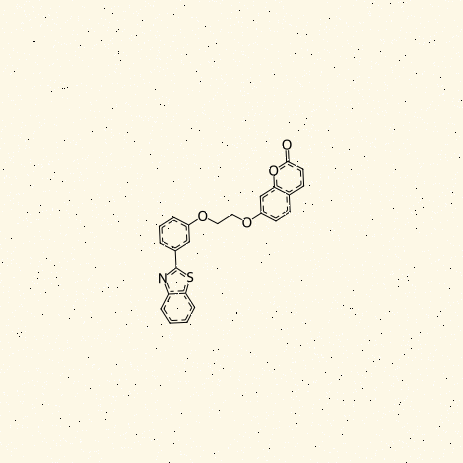 O=c1ccc2ccc(OCCOc3cccc(-c4nc5ccccc5s4)c3)cc2o1